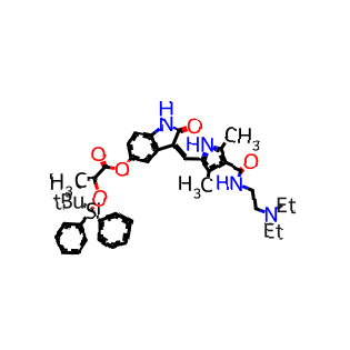 CCN(CC)CCNC(=O)c1c(C)[nH]c(/C=C2\C(=O)Nc3ccc(OC(=O)[C@H](C)O[Si](c4ccccc4)(c4ccccc4)C(C)(C)C)cc32)c1C